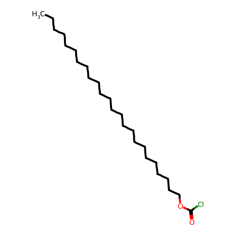 CCCCCCCCCCCCCCCCCCCCCCCCOC(=O)Cl